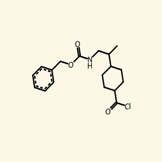 CC(CNC(=O)OCc1ccccc1)C1CCC(C(=O)Cl)CC1